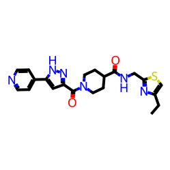 CCc1csc(CNC(=O)C2CCN(C(=O)c3cc(-c4ccncc4)[nH]n3)CC2)n1